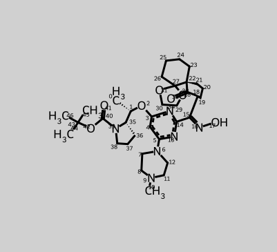 C[C@H](Oc1cc(N2CCN(C)CC2)nc(/C(=N/O)C2CCC[C@@]3(CCCCC34OCCO4)C2=O)n1)[C@@H]1CCCN1C(=O)OC(C)(C)C